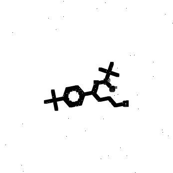 CC(C)(C)c1ccc(C(CCCCl)=N[S+]([O-])C(C)(C)C)cc1